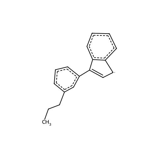 CCCc1cccc(C2=C[CH]c3ccccc32)c1